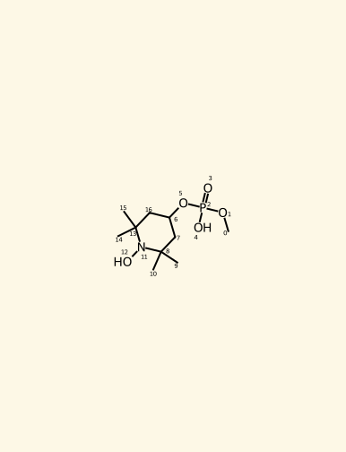 COP(=O)(O)OC1CC(C)(C)N(O)C(C)(C)C1